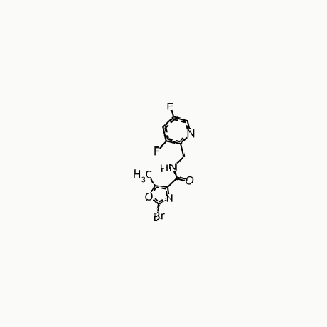 Cc1oc(Br)nc1C(=O)NCc1ncc(F)cc1F